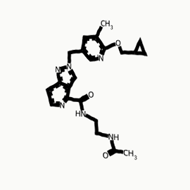 CC(=O)NCCNC(=O)c1nccc2nn(Cc3cnc(OCC4CC4)c(C)c3)cc12